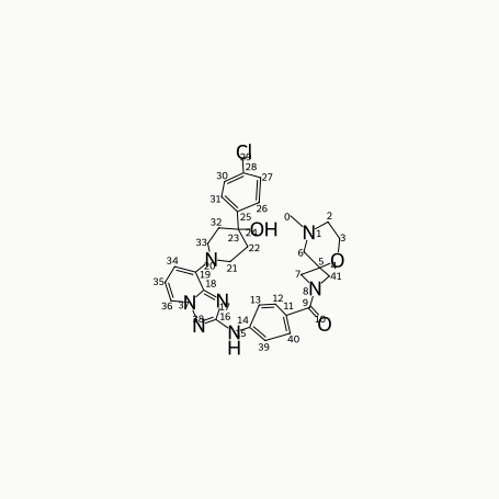 CN1CCOC2(C1)CN(C(=O)c1ccc(Nc3nc4c(N5CCC(O)(c6ccc(Cl)cc6)CC5)cccn4n3)cc1)C2